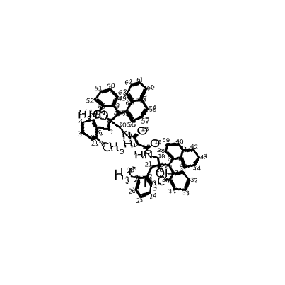 Cc1ccccc1CC(O)(CNC(=O)CC(=O)NCC(O)(Cc1ccccc1C)C(c1ccccc1C)c1cccc2ccccc12)C(c1ccccc1C)c1cccc2ccccc12